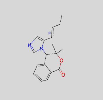 CC/C=C/c1cncn1C1c2ccccc2C(=O)OC1(C)C